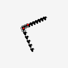 CC[O+](CC)CC.CC[O+](CC)CC.CC[O+](CC)CC.CC[O+](CC)CC.CC[O+](CC)CC.CC[O+](CC)CC.CC[O+](CC)CC.CC[O+](CC)CC.CC[O+](CC)CC.CC[O+](CC)CC.CC[O+](CC)CC.CC[O+](CC)CC.[O-]B([O-])[O-].[O-]B([O-])[O-].[O-]B([O-])[O-].[O-]B([O-])[O-]